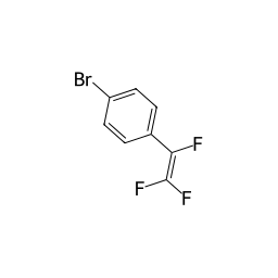 FC(F)=C(F)c1ccc(Br)cc1